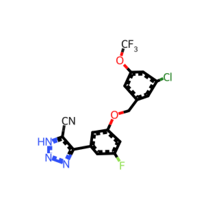 N#Cc1[nH]nnc1-c1cc(F)cc(OCc2cc(Cl)cc(OC(F)(F)F)c2)c1